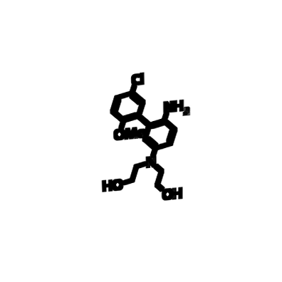 COc1ccc(Cl)cc1-c1cc(N(CCO)CCO)ccc1N